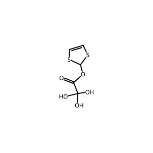 O=C(OC1SC=CS1)C(O)(O)O